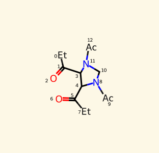 CCC(=O)C1C(C(=O)CC)N(C(C)=O)CN1C(C)=O